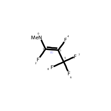 CN/C(F)=C(\F)C(F)(F)F